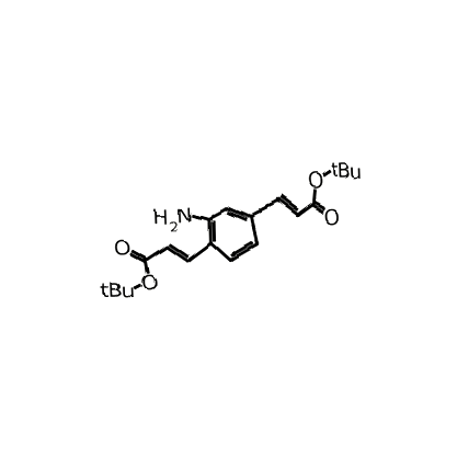 CC(C)(C)OC(=O)C=Cc1ccc(C=CC(=O)OC(C)(C)C)c(N)c1